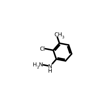 Cc1cccc(NN)c1Cl